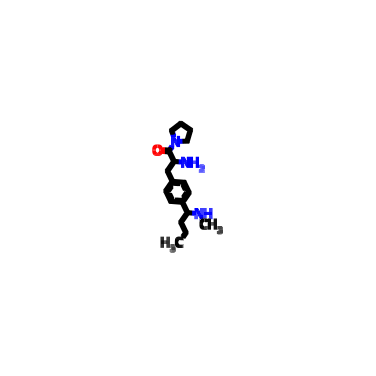 CCCC(NC)c1ccc(CC(N)C(=O)N2CCCC2)cc1